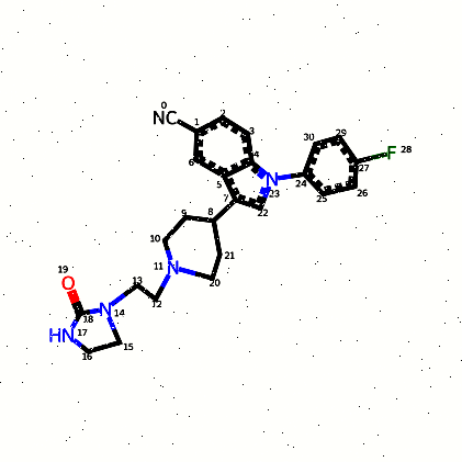 N#Cc1ccc2c(c1)c(C1CCN(CCN3CCNC3=O)CC1)cn2-c1ccc(F)cc1